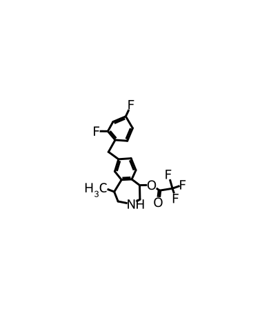 CC1CNCC(OC(=O)C(F)(F)F)c2ccc(Cc3ccc(F)cc3F)cc21